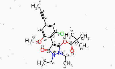 CC#Cc1cc(Cl)c(-c2c(OC(=O)C(C)(C)C)n(CC)n(CC)c2=O)c(OC)c1